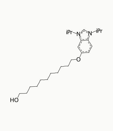 CC(C)n1c[n+](C(C)C)c2cc(OCCCCCCCCCCCO)ccc21